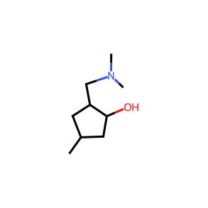 CC1CC(O)C(CN(C)C)C1